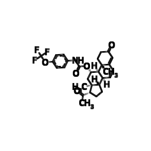 CC(=O)[C@H]1CC[C@H]2[C@@H]3C=CC4=CC(=O)CC[C@@]4(C)[C@@H]3[C@@H](OC(=O)Nc3ccc(OC(F)(F)F)cc3)C[C@]12C